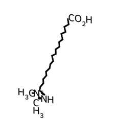 Cc1[nH]cc(CCCCCCCCCCCCCCCCCCCC(=O)O)[n+]1C